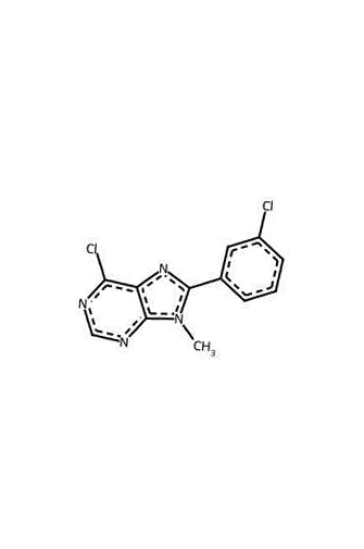 Cn1c(-c2cccc(Cl)c2)nc2c(Cl)ncnc21